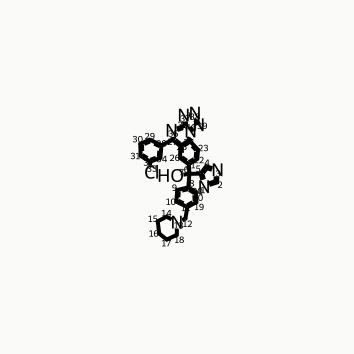 Cn1cncc1C(O)(c1ccc(CN2CCCCC2)cc1)c1ccc2c(c1)c(-c1cccc(Cl)c1)nc1nnnn12